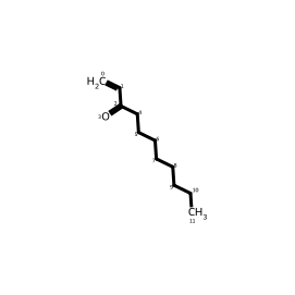 C=CC(=O)CCCCCCCC